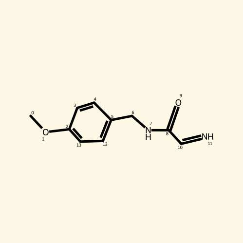 COc1ccc(CNC(=O)C=N)cc1